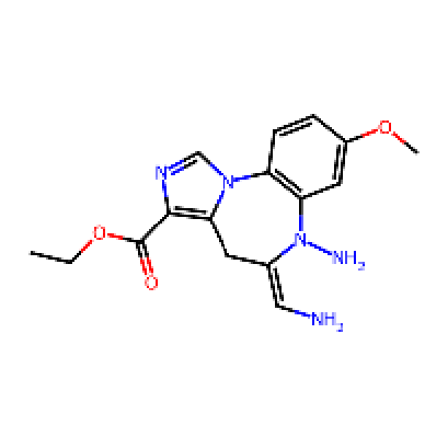 CCOC(=O)c1ncn2c1C/C(=C/N)N(N)c1cc(OC)ccc1-2